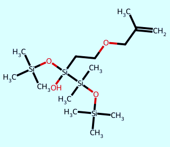 C=C(C)COCC[Si](O)(O[Si](C)(C)C)[Si](C)(C)O[Si](C)(C)C